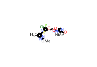 CNC(=O)c1cc(NC(=O)OCCOc2cc3sc(-c4cc(C)cc5nc(OC)cnc45)nc3c(Cl)c2F)ccn1